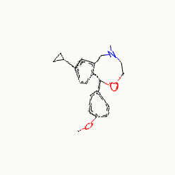 COc1ccc(C2OCCN(C)Cc3cc(C4CC4)ccc32)cc1